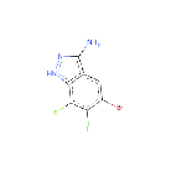 Nc1n[nH]c2c(F)c(F)c(Br)cc12